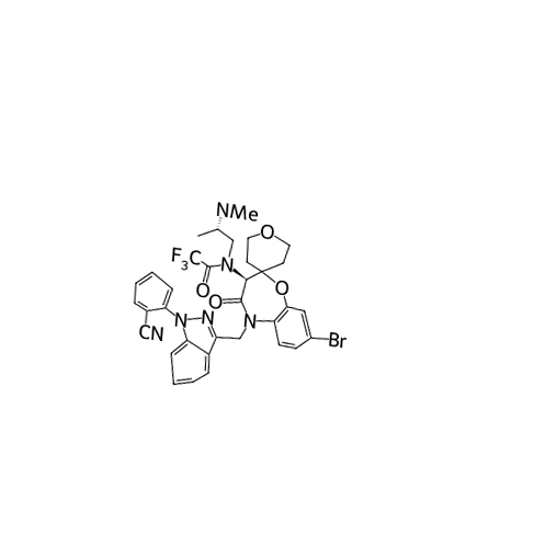 CN[C@@H](C)CN(C(=O)C(F)(F)F)[C@@H]1C(=O)N(Cc2nn(-c3ccccc3C#N)c3ccccc23)c2ccc(Br)cc2OC12CCOCC2